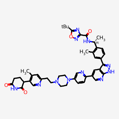 Cc1cc(CCN2CCN(c3ccc(-c4cnc5[nH]nc(-c6ccc([C@@H](C)NC(=O)c7noc(C(C)(C)C)n7)c(C)c6)c5c4)nc3)CC2)ncc1C1CCC(=O)NC1=O